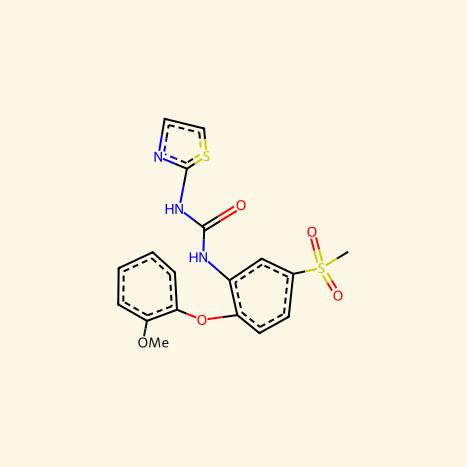 COc1ccccc1Oc1ccc(S(C)(=O)=O)cc1NC(=O)Nc1nccs1